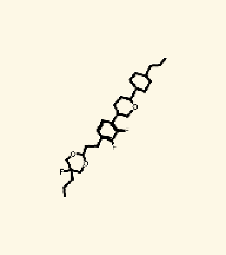 CCCC1CCC(C2CCC(c3ccc(CCC4OCC(F)(CCC)CO4)c(F)c3F)CO2)CC1